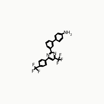 Nc1ccc(-c2cccc(-c3nc(-c4ccc(C(F)(F)F)cc4)cc(C(F)(F)F)n3)c2)cc1